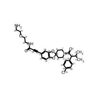 CC(C)C(C(=O)N1CCC2(CC1)Oc1ccc(C#CC(=O)NCCOCCN)cc1O2)c1ccc(Cl)cc1